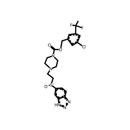 CC(F)(F)c1cc(Cl)cc(COC(=O)N2CCN(CC[S+]([O-])c3ccc4nn[nH]c4c3)CC2)c1